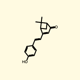 CC1(C)C2CC1C(C=Cc1ccc(O)cc1)=CC2=O